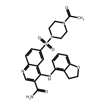 CC(=O)N1CCN(S(=O)(=O)c2ccc3ncc(C(N)=O)c(Nc4cccc5c4CCO5)c3c2)CC1